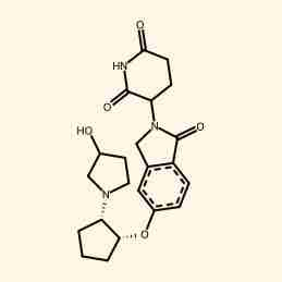 O=C1CCC(N2Cc3cc(O[C@@H]4CCC[C@@H]4N4CCC(O)C4)ccc3C2=O)C(=O)N1